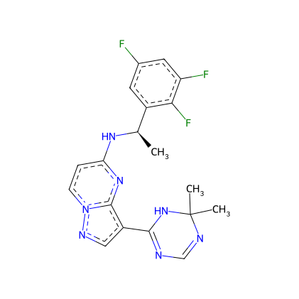 C[C@@H](Nc1ccn2ncc(C3=NC=NC(C)(C)N3)c2n1)c1cc(F)cc(F)c1F